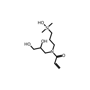 C=CC(=O)N(CCC[Si](C)(C)O)CC(O)CO